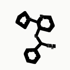 O=C(O)C(Oc1cccnc1-n1cccc1)c1ccccc1